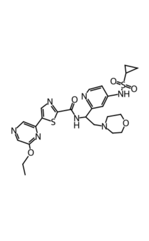 CCOc1cncc(-c2cnc(C(=O)NC(CN3CCOCC3)c3cc(NS(=O)(=O)C4CC4)ccn3)s2)n1